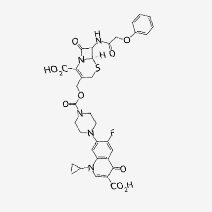 O=C(COc1ccccc1)NC1C(=O)N2C(C(=O)O)=C(COC(=O)N3CCN(c4cc5c(cc4F)c(=O)c(C(=O)O)cn5C4CC4)CC3)CS[C@H]12